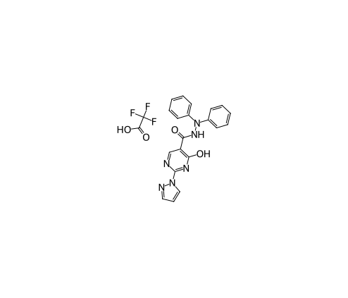 O=C(NN(c1ccccc1)c1ccccc1)c1cnc(-n2cccn2)nc1O.O=C(O)C(F)(F)F